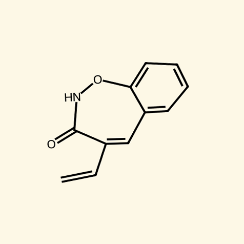 C=CC1=Cc2ccccc2ONC1=O